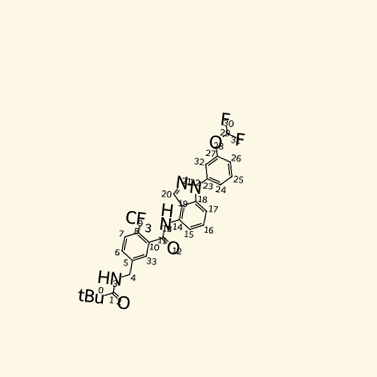 CC(C)(C)C(=O)NCc1ccc(C(F)(F)F)c(C(=O)Nc2cccc3c2cnn3-c2cccc(OC(F)F)c2)c1